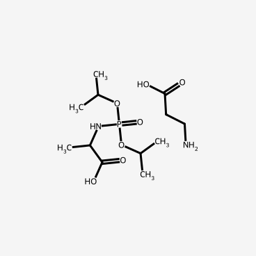 CC(C)OP(=O)(NC(C)C(=O)O)OC(C)C.NCCC(=O)O